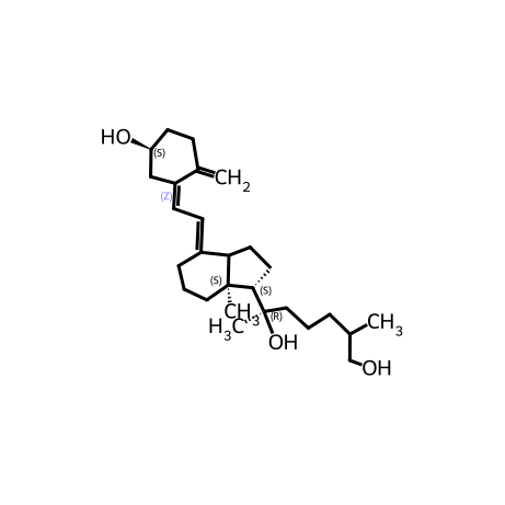 C=C1CC[C@H](O)C/C1=C/C=C1CCC[C@@]2(C)C1CC[C@@H]2[C@](C)(O)CCCC(C)CO